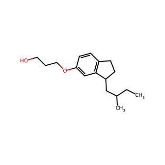 CCC(C)CC1CCc2ccc(OCCCO)cc21